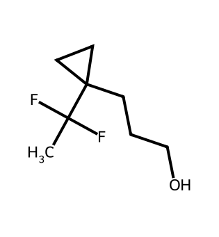 CC(F)(F)C1(CCCO)CC1